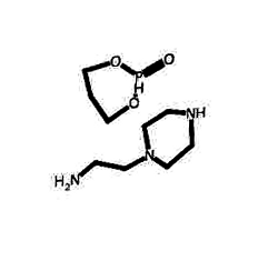 NCCN1CCNCC1.O=[PH]1OCCCO1